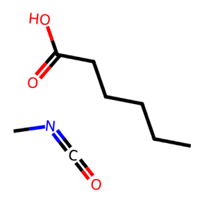 CCCCCC(=O)O.CN=C=O